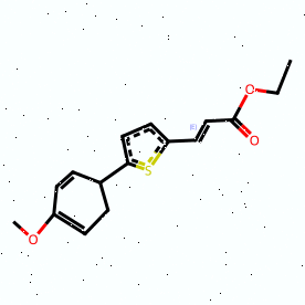 CCOC(=O)/C=C/c1ccc(C2C=CC(OC)=CC2)s1